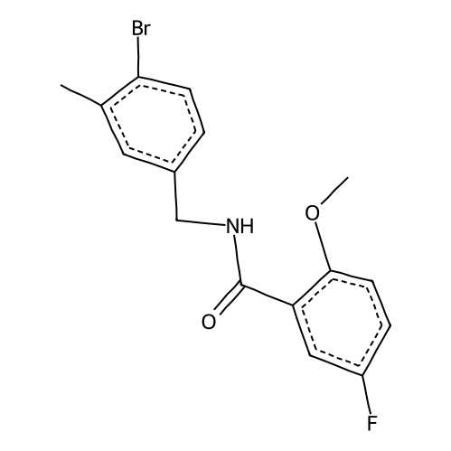 COc1ccc(F)cc1C(=O)NCc1ccc(Br)c(C)c1